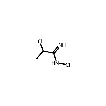 CC(Cl)C(=N)NCl